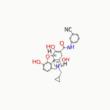 N#Cc1cccc(NC(=O)C2=C(O)[C@@H]3Oc4c(O)ccc5c4[C@@]34CCN(CC3CC3)[C@H](C5)[C@]4(O)C2)c1